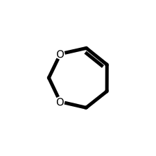 C1=COCOCC1